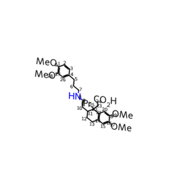 COc1ccc(CCCNCCC2CCc3cc(OC)c(OC)cc3C2(CC(=O)O)C(C)C)cc1OC